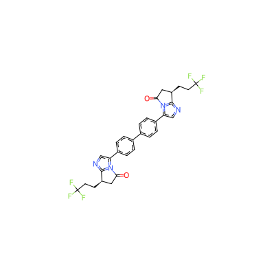 O=C1C[C@@H](CCC(F)(F)F)c2ncc(-c3ccc(-c4ccc(-c5cnc6n5C(=O)C[C@H]6CCC(F)(F)F)cc4)cc3)n21